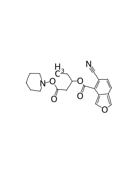 CCC(CC(=O)ON1CCCCC1)OC(=O)c1c(C#N)ccc2cocc12